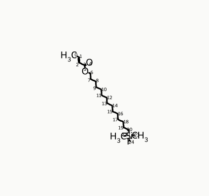 CC=CC(=O)OCCCCCCCCCCCCCCC[Si](C)(C)F